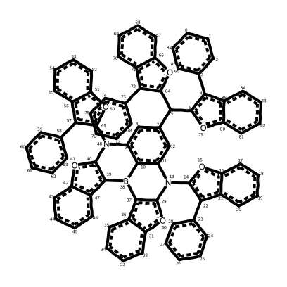 c1ccc(-c2c(C(c3cc4c5c(c3)N(c3oc6ccccc6c3-c3ccccc3)c3oc6ccccc6c3B5c3c(oc5ccccc35)N4c3oc4ccccc4c3-c3ccccc3)c3oc4ccccc4c3-c3ccccc3)oc3ccccc23)cc1